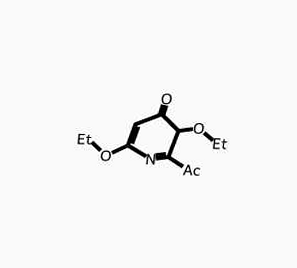 CCOC1=CC(=O)C(OCC)C(C(C)=O)=N1